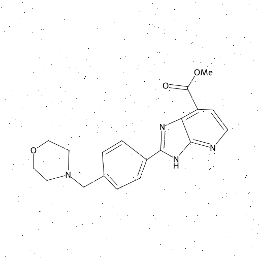 COC(=O)c1ccnc2[nH]c(-c3ccc(CN4CCOCC4)cc3)nc12